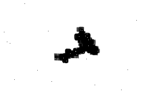 CSCC[C@H](NC=O)C(=O)NC1CC(C)N([C@@H](Cc2ccccc2)C(=O)NCCOCCOCCNC(=O)CCC(=O)O)C1=O